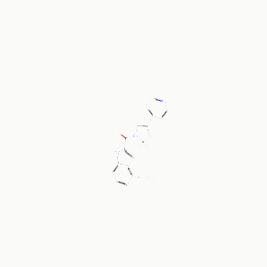 COc1cccc2[nH]c(C(=O)N3CC(c4ccncc4)CC3(C)C)cc12